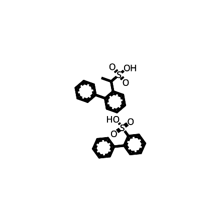 CC(c1ccccc1-c1ccccc1)S(=O)(=O)O.O=S(=O)(O)c1ccccc1-c1ccccc1